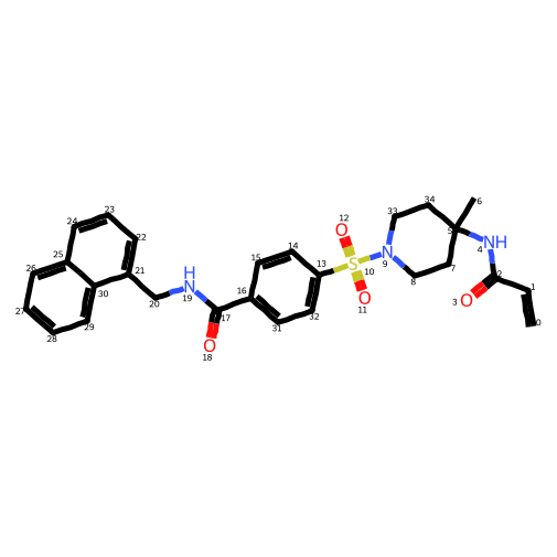 C=CC(=O)NC1(C)CCN(S(=O)(=O)c2ccc(C(=O)NCc3cccc4ccccc34)cc2)CC1